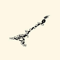 [N-]=[N+]=Nc1ccc(C(=O)NCCCOCCOCCOCCCNC(=O)CCC(C(=O)O)N2CCN(CC(=O)O)CCN(CC(O)O)CC2)cc1